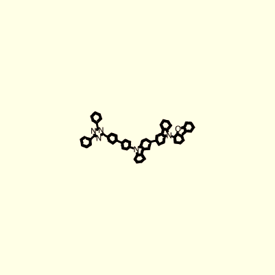 c1ccc(-c2nc(-c3ccccc3)nc(-c3ccc(-c4ccc(-n5c6ccccc6c6cc(-c7ccc8c(c7)c7ccccc7n8-c7cccc8c7oc7ccccc78)ccc65)cc4)cc3)n2)cc1